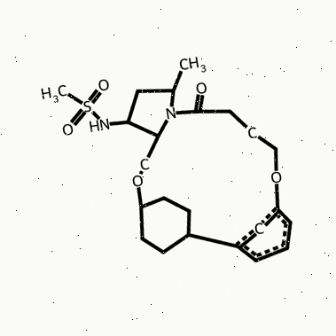 CC1CC(NS(C)(=O)=O)C2COC3CCC(CC3)c3cccc(c3)OCCCC(=O)N12